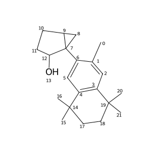 Cc1cc2c(cc1C13CC1CCC3O)C(C)(C)CCC2(C)C